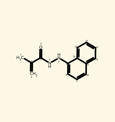 C=C(C)C(=O)NNc1cccc2ccccc12